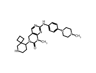 CN1CCN(c2ccc(Nc3ncc4c(n3)N(C)C(=O)N(C3CCNCC35CCC5)C4)cc2)CC1